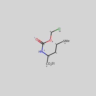 CCOC(=O)C(CCSC)NC(=O)OCCl